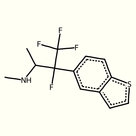 CNC(C)C(F)(c1ccc2sccc2c1)C(F)(F)F